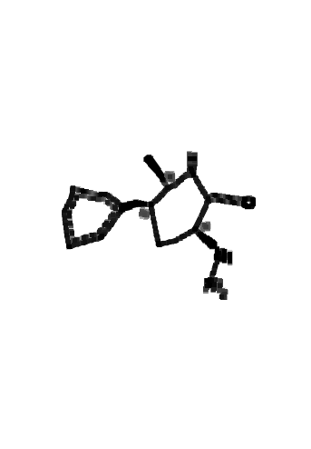 C[C@H]1NC(=O)[C@@H](NP)C[C@H]1c1ccccc1